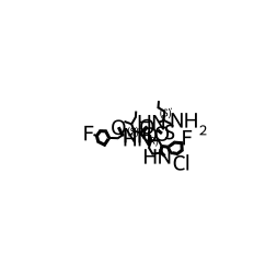 CCC(C)[C@H](NC(=O)Cc1ccc(F)cc1)C(=O)N[C@@]1(OC(=O)NC(C(N)=S)[C@@H](C)CC)CCc2[nH]c3c(Cl)cc(F)cc3c2C1